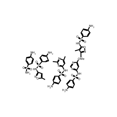 COc1cc(NS(=O)(=O)c2ccc(N)cc2)ncn1.Cc1cc(NS(=O)(=O)c2ccc(N)cc2)nc(C)n1.Cc1cc(NS(=O)(=O)c2ccc(N)cc2)no1.Cc1noc(NS(=O)(=O)c2ccc(N)cc2)c1C.Nc1ccc(S(N)(=O)=O)cc1